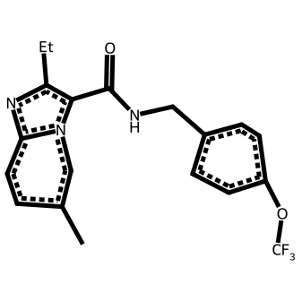 CCc1nc2ccc(C)cn2c1C(=O)NCc1ccc(OC(F)(F)F)cc1